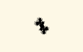 [2H]c1c([2H])c([2H])c(-c2cc(-c3c([2H])c([2H])c([2H])c([2H])c3[2H])cc(N(c3ccc(F)cc3)c3ccc4ccc5c(N(c6ccc(F)cc6)c6cc(-c7c([2H])c([2H])c([2H])c([2H])c7[2H])cc(-c7c([2H])c([2H])c([2H])c([2H])c7[2H])c6)ccc6ccc3c4c65)c2)c([2H])c1[2H]